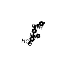 Cc1ccc(CNC(=O)c2ccc(-c3nc4cc(C(=O)O)ccc4n3C3CCCC3)cc2)cc1